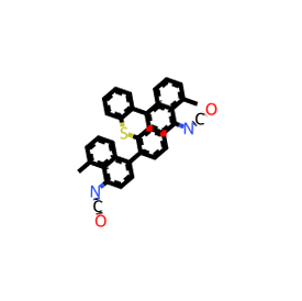 Cc1cccc2c(-c3ccccc3Sc3ccccc3-c3ccc(N=C=O)c4c(C)cccc34)ccc(N=C=O)c12